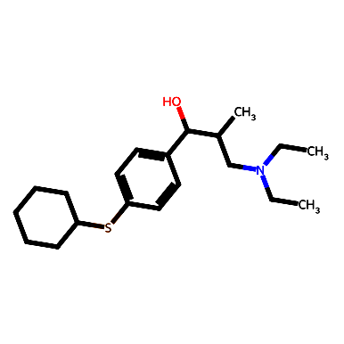 CCN(CC)CC(C)C(O)c1ccc(SC2CCCCC2)cc1